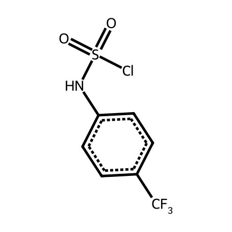 O=S(=O)(Cl)Nc1ccc(C(F)(F)F)cc1